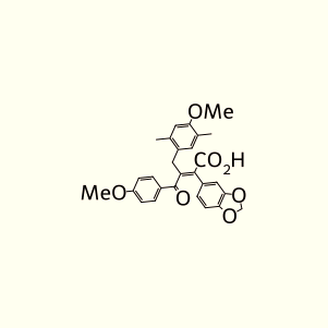 COc1ccc(C(=O)C(Cc2cc(C)c(OC)cc2C)=C(C(=O)O)c2ccc3c(c2)OCO3)cc1